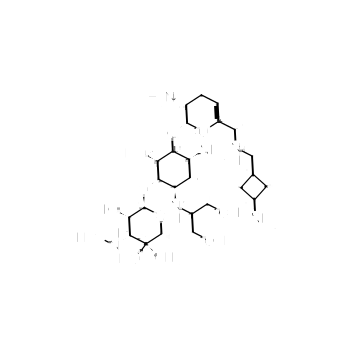 CN[C@@H]1[C@@H](O)[C@@H](O[C@H]2[C@H](NC(CO)CO)C[C@H](N)C(O[C@H]3OC(CNCC4CC(N)C4)=CC[C@H]3N)[C@@H]2O)OC[C@]1(C)O